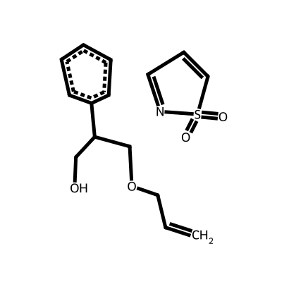 C=CCOCC(CO)c1ccccc1.O=S1(=O)C=CC=N1